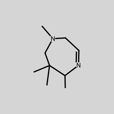 CC1N=CCN(C)CC1(C)C